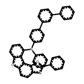 c1ccc(-c2cccc(-c3ccc(N(c4ccccc4)c4cccc5oc6ccc7nc(-c8ccccc8)oc7c6c45)cc3)c2)cc1